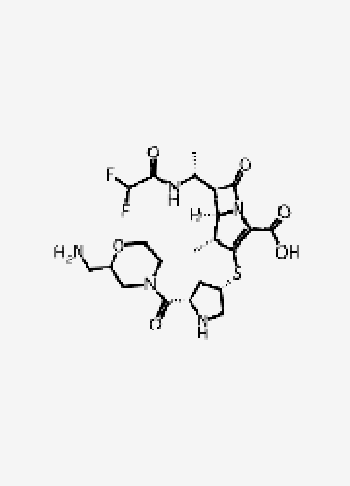 C[C@@H](NC(=O)C(F)F)[C@H]1C(=O)N2C(C(=O)O)=C(S[C@@H]3CN[C@H](C(=O)N4CCO[C@H](CN)C4)C3)[C@H](C)[C@@H]12